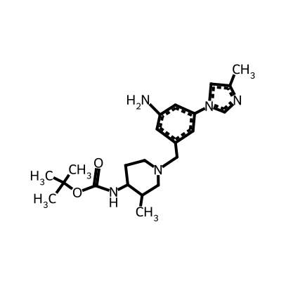 Cc1cn(-c2cc(N)cc(CN3CCC(NC(=O)OC(C)(C)C)C(C)C3)c2)cn1